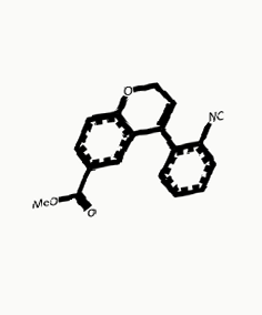 [C-]#[N+]c1ccccc1C1=CCOc2ccc(C(=O)OC)cc21